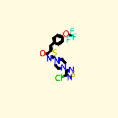 O=C1N=C(N2CCN(c3nsnc3Cl)CC2)SC1=Cc1ccc(OC(F)(F)F)cc1